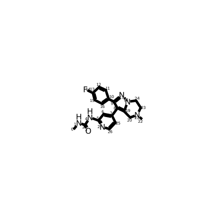 CNC(=O)Nc1cc(-c2c(-c3ccc(F)cc3)nn3c2CN(C)CC3)ccn1